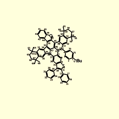 CC(C)(C)c1ccc(N2B3c4cc5sc(-c6ccccc6)c(-c6ccccc6)c5cc4-n4c5cc6c(cc5c5c7c(oc8ccccc87)c(c3c54)-c3cc4c(cc32)C(C)(C)CCC4(C)C)C(C)(C)CCC6(C)C)cc1